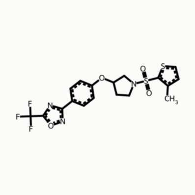 Cc1ccsc1S(=O)(=O)N1CCC(Oc2ccc(-c3noc(C(F)(F)F)n3)cc2)C1